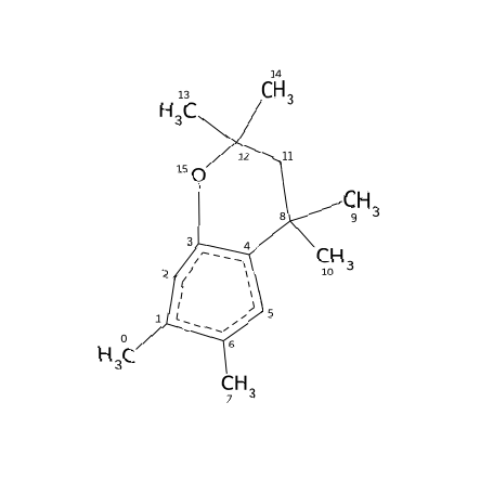 Cc1cc2c(cc1C)C(C)(C)CC(C)(C)O2